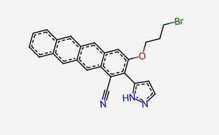 N#Cc1c(-c2ccn[nH]2)c(OCCCBr)cc2cc3cc4ccccc4cc3cc12